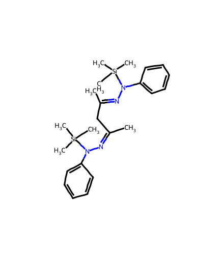 CC(CC(C)=NN(c1ccccc1)[Si](C)(C)C)=NN(c1ccccc1)[Si](C)(C)C